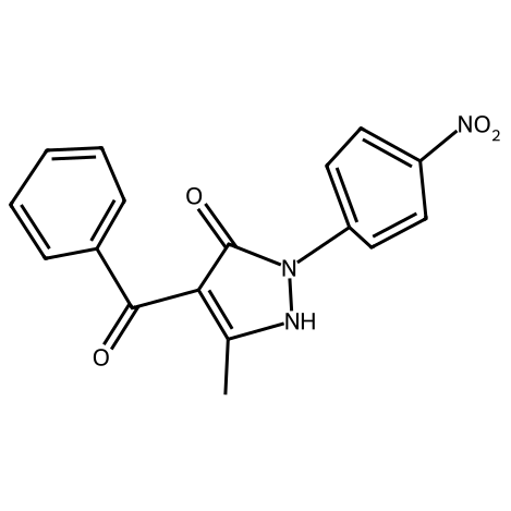 Cc1[nH]n(-c2ccc([N+](=O)[O-])cc2)c(=O)c1C(=O)c1ccccc1